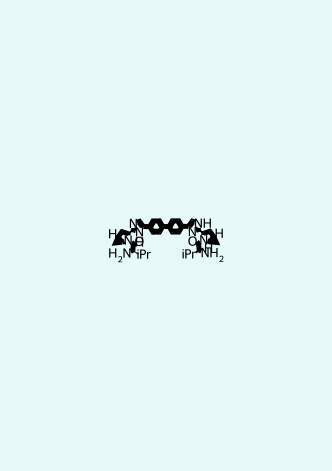 CC(C)[C@H](N)C(=O)N1C2C[C@H]2C[C@H]1c1ncc(-c2ccc(-c3ccc(-c4c[nH]c([C@H]5C[C@H]6C[C@H]6N5C(=O)[C@@H](N)C(C)C)n4)cc3)cc2)[nH]1